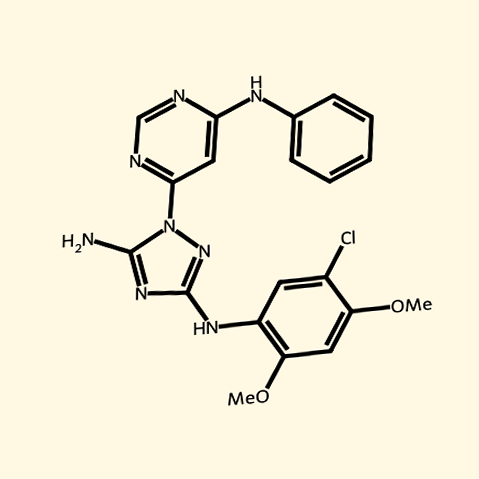 COc1cc(OC)c(Nc2nc(N)n(-c3cc(Nc4ccccc4)ncn3)n2)cc1Cl